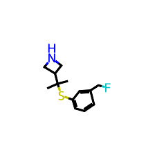 CC(C)(Sc1cccc(CF)c1)C1CNC1